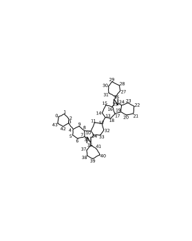 C1CCC(C2CCC3C(C2)C2CC(C4CCC5C(C4)C4CCCCC4N5C4CCCCC4)CCC2N3C2CCCCC2)CC1